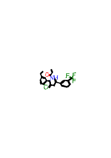 C=CC(=O)NC(C(=C)CC(=C)c1cccc(C(F)(F)F)c1)c1cc(CC)ccc1Cl